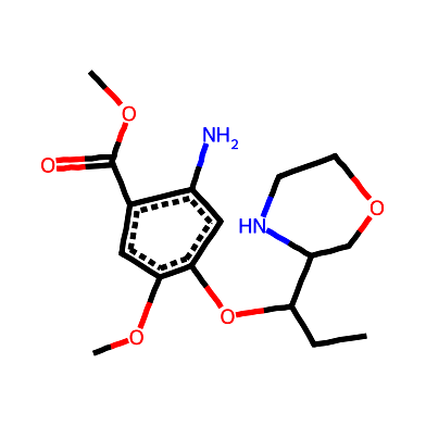 CCC(Oc1cc(N)c(C(=O)OC)cc1OC)C1COCCN1